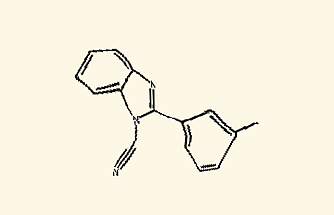 Cc1cccc(-c2nc3ccccc3n2C#N)c1